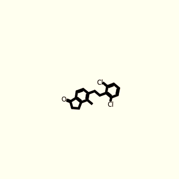 Cc1c(CCc2c(Cl)cccc2Cl)ccc2c1CCC2=O